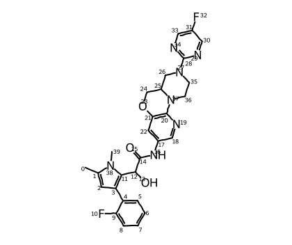 Cc1cc(-c2ccccc2F)c(C(O)C(=O)Nc2cnc3c(c2)OCC2CN(c4ncc(F)cn4)CCN32)n1C